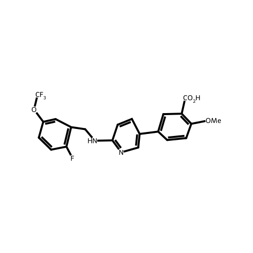 COc1ccc(-c2ccc(NCc3cc(OC(F)(F)F)ccc3F)nc2)cc1C(=O)O